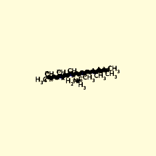 CC(C)=CCC/C(C)=C/CC/C(C)=C/CC/C=C(\C)CC/C=C(\C)CCC=C(C)C.CCN